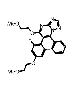 COCCOc1cc(F)c(-c2c(OCCOC)nc3ncnn3c2-c2ccccc2)c(F)c1